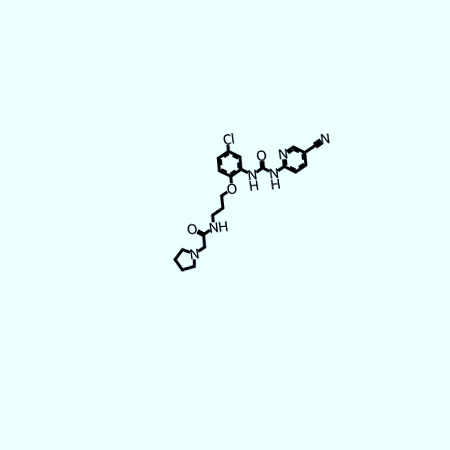 N#Cc1ccc(NC(=O)Nc2cc(Cl)ccc2OCCCNC(=O)CN2CCCC2)nc1